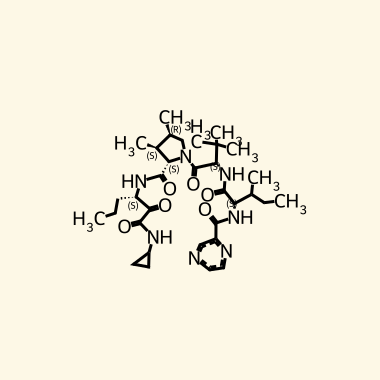 CCC[C@H](NC(=O)[C@@H]1[C@@H](C)[C@@H](C)CN1C(=O)[C@@H](NC(=O)[C@@H](NC(=O)c1cnccn1)C(C)CC)C(C)(C)C)C(=O)C(=O)NC1CC1